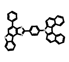 c1ccc(-c2cc3sc4ccccc4c3c3nc(-c4ccc(-n5c6ccc7ccccc7c6c6c7ccccc7ccc65)cc4)sc23)cc1